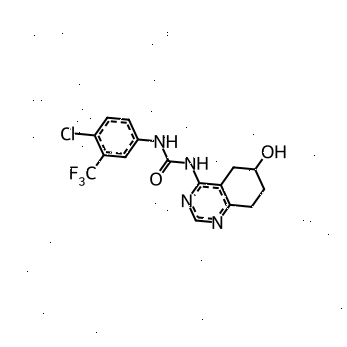 O=C(Nc1ccc(Cl)c(C(F)(F)F)c1)Nc1ncnc2c1CC(O)CC2